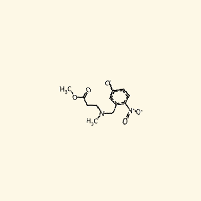 COC(=O)CCN(C)Cc1cc(Cl)ccc1[N+](=O)[O-]